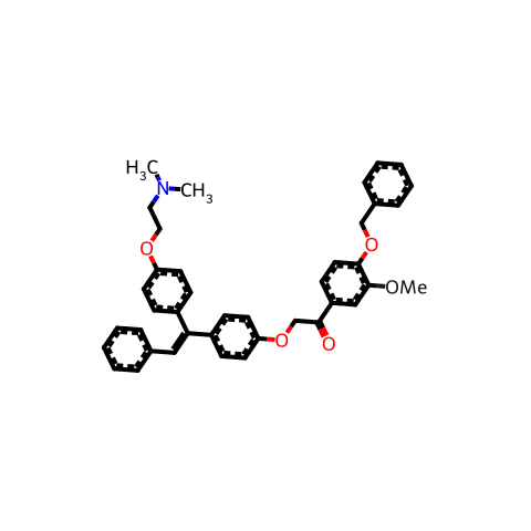 COc1cc(C(=O)COc2ccc(/C(=C/c3ccccc3)c3ccc(OCCN(C)C)cc3)cc2)ccc1OCc1ccccc1